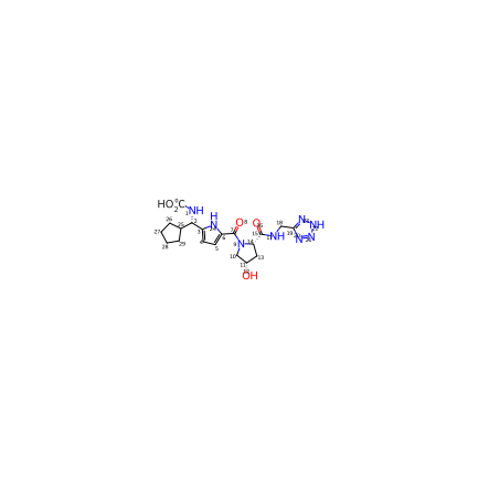 O=C(O)N[C@H](c1ccc(C(=O)N2C[C@@H](O)C[C@H]2C(=O)NCc2nn[nH]n2)[nH]1)C1CCCC1